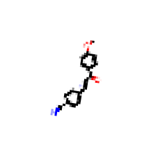 COc1ccc(C(=O)/C=C/c2ccc(C#N)cc2)cc1